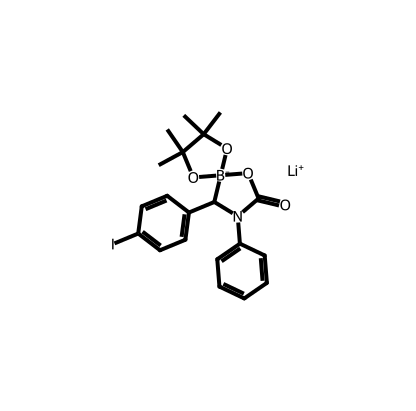 CC1(C)O[B-]2(OC(=O)N(c3ccccc3)C2c2ccc(I)cc2)OC1(C)C.[Li+]